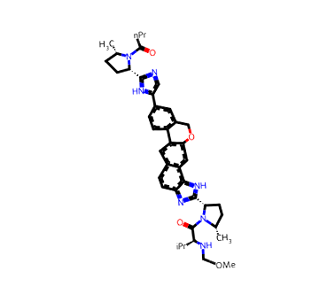 CCCC(=O)N1[C@@H](C)CC[C@H]1c1ncc(-c2ccc3c(c2)COc2cc4c(ccc5nc([C@@H]6CC[C@H](C)N6C(=O)[C@@H](NCOC)C(C)C)[nH]c54)cc2-3)[nH]1